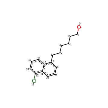 [O]CCCCCCc1cccc2c(Cl)cccc12